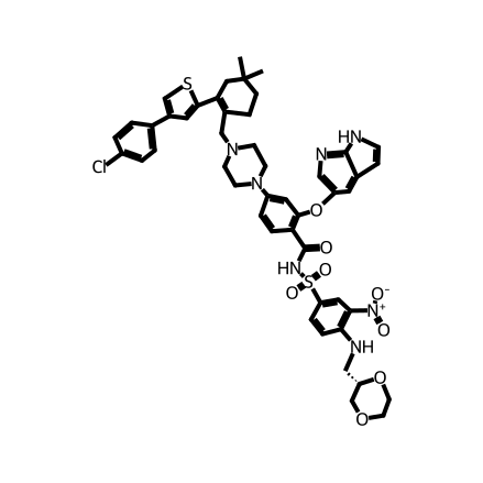 CC1(C)CCC(CN2CCN(c3ccc(C(=O)NS(=O)(=O)c4ccc(NC[C@H]5COCCO5)c([N+](=O)[O-])c4)c(Oc4cnc5[nH]ccc5c4)c3)CC2)=C(c2cc(-c3ccc(Cl)cc3)cs2)C1